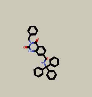 O=C(NC(c1ccccc1)(c1ccccc1)c1ccccc1)c1ccc2c(=O)n(Cc3ccccc3)c(=O)[nH]c2c1